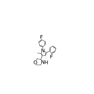 Cc1c(C2COCCN2)cc(-c2ccccc2F)n1-c1ccc(F)cc1